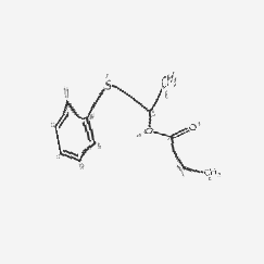 C[CH]C(=O)OC(C)Sc1ccccc1